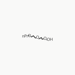 CCCOCCCOCCCOCO